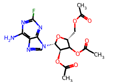 CC(=O)OC[C@H]1O[C@@H](n2cnc3c(N)nc(F)nc32)[C@H](OC(C)=O)C1OC(C)=O